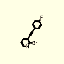 Fc1ccc(C#Cc2cccnc2Br)cc1